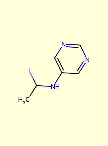 CC(I)Nc1cncnc1